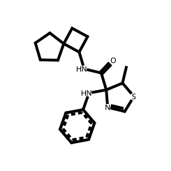 CC1SC=NC1(Nc1ccccc1)C(=O)NC1CCC12CCCC2